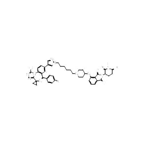 Cc1nnc2n1-c1ccc(-c3cnn(CCCCCCN4CCC(Nc5cccc6c5C(=O)N(C5CCC(=O)NC5=O)C6=O)CC4)c3)cc1C(c1ccc(Cl)cc1)=NC21CC1